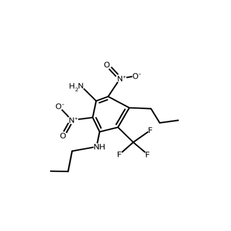 CCCNc1c([N+](=O)[O-])c(N)c([N+](=O)[O-])c(CCC)c1C(F)(F)F